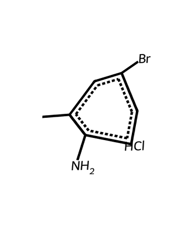 Cc1cc(Br)ccc1N.Cl